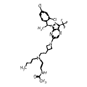 CCCCN(CCNC(C)=O)CCC1CN(c2cnc3c(C(F)(F)F)nn(C(C)c4ccc(Cl)cc4Cl)c3n2)C1